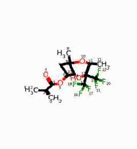 C=C(C)C(=O)OC1CC(C)(OC(C)C(O)(C(F)(F)F)C(F)(F)F)C1